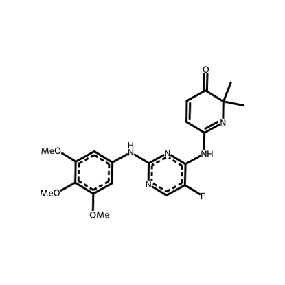 COc1cc(Nc2ncc(F)c(NC3=NC(C)(C)C(=O)C=C3)n2)cc(OC)c1OC